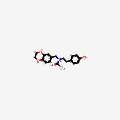 O=C(N(CCc1ccc(O)cc1)Cc1ccc2c(c1)OCCO2)C(F)(F)F